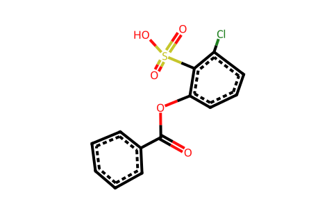 O=C(Oc1cccc(Cl)c1S(=O)(=O)O)c1ccccc1